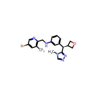 Cn1cnnc1[C@@H](c1cccc(NCc2ncc(Br)cc2C(F)(F)F)c1)C1COC1